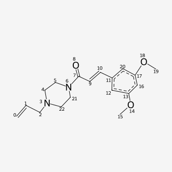 C=CCN1CCN(C(=O)C=Cc2cc(OC)cc(OC)c2)CC1